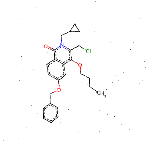 CCCCOc1c(CCl)n(CC2CC2)c(=O)c2ccc(OCc3ccccc3)cc12